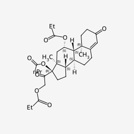 CCCC(=O)O[C@]1(C(=O)COC(=O)CC)CC[C@H]2[C@@H]3CCC4=CC(=O)CC[C@]4(C)[C@H]3[C@@H](OC(=O)CC)C[C@@]21C